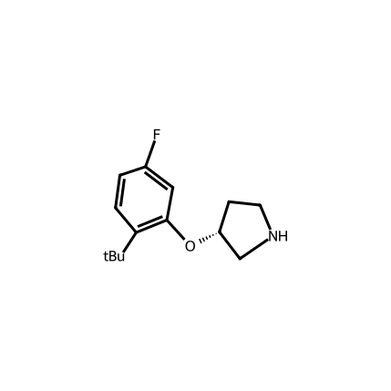 CC(C)(C)c1ccc(F)cc1O[C@@H]1CCNC1